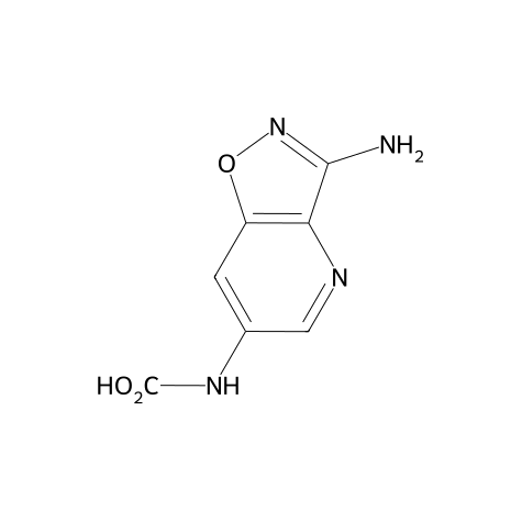 Nc1noc2cc(NC(=O)O)cnc12